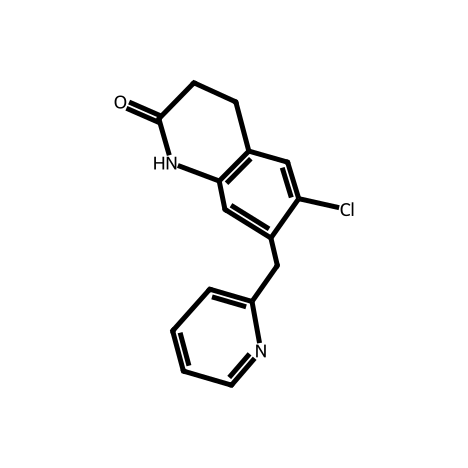 O=C1CCc2cc(Cl)c(Cc3ccccn3)cc2N1